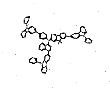 CC1(C)c2cc(-c3ccc4c(c3)c3ccccc3n4-c3ccccc3)ccc2-c2ccc(N(c3ccc(-c4ccc5c(c4)c4ccccc4n5-c4ccccc4)cc3)c3ccc(-c4ccc5c6ccccc6n(-c6ccccc6)c5c4)c4ccccc34)cc21